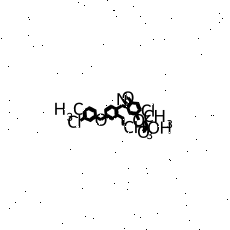 CCCc1cc(Oc2ccc(C)c(Cl)c2)ccc1-c1noc2cc(Cl)c(O[C@@H](C)C(=O)O)cc12